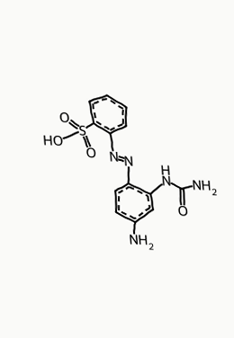 NC(=O)Nc1cc(N)ccc1N=Nc1ccccc1S(=O)(=O)O